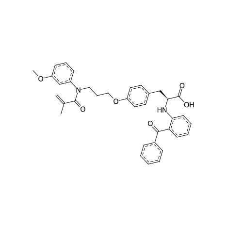 C=C(C)C(=O)N(CCCOc1ccc(C[C@H](Nc2ccccc2C(=O)c2ccccc2)C(=O)O)cc1)c1cccc(OC)c1